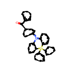 O=C(c1ccccc1)c1ccc(N2c3ccccc3S(c3ccccc3)(c3ccccc3)c3ccccc32)cc1